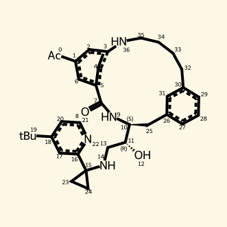 CC(=O)c1cc2cc(c1)C(=O)N[C@H]([C@H](O)CNC1(c3cc(C(C)(C)C)ccn3)CC1)Cc1cccc(c1)CCCCN2